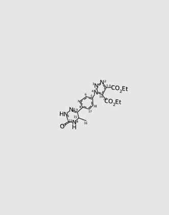 CCOC(=O)c1nnn(-c2ccc(C3=NNC(=O)NC3C)cc2)c1C(=O)OCC